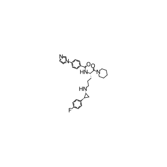 O=C(N[C@@H](CCCN[C@@H]1C[C@H]1c1ccc(F)cc1)C(=O)N1CCCCC1)c1ccc(-n2ccnc2)cc1